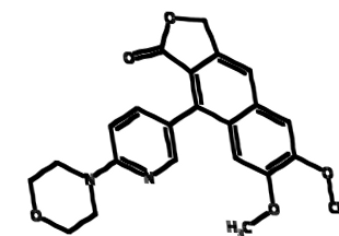 COc1cc2cc3c(c(-c4ccc(N5CCOCC5)nc4)c2cc1OC)C(=O)OC3